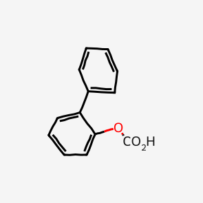 O=C(O)Oc1ccccc1-c1ccccc1